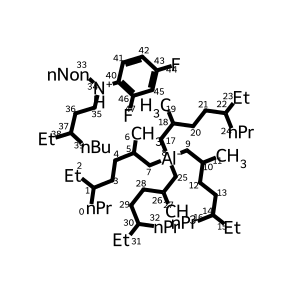 CCCC(CC)CCC(C)[CH2][Al-]([CH2]C(C)CCC(CC)CCC)([CH2]C(C)CCC(CC)CCC)[CH2]C(C)CCC(CC)CCC.CCCCCCCCC[NH+](CCC(CC)CCCC)c1ccc(F)cc1F